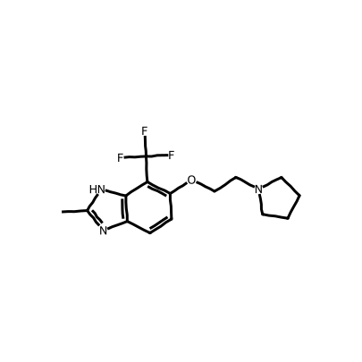 Cc1nc2ccc(OCCN3CCCC3)c(C(F)(F)F)c2[nH]1